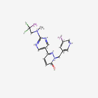 CN(CC(F)(F)P)c1ncc(-c2ccc(=O)n(Cc3cncc(P)c3)n2)cn1